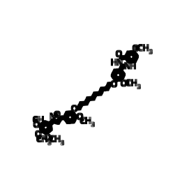 COc1ccc2c(c1)C(=O)NC(c1ccc(OCCCCCCCCCCOc3cc(C4CC(c5cc(OC)c(OC)c(OC)c5)=NO4)ccc3OC)c(OC)c1)N2